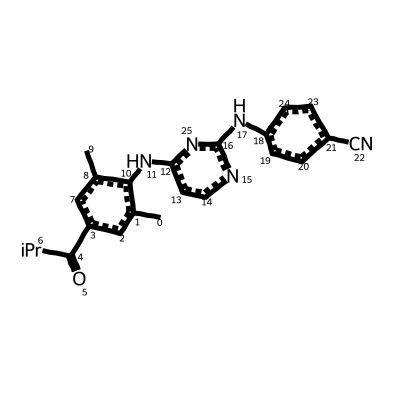 Cc1cc(C(=O)C(C)C)cc(C)c1Nc1ccnc(Nc2ccc(C#N)cc2)n1